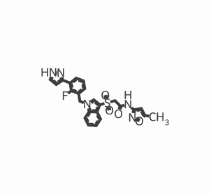 Cc1cc(NC(=O)CS(=O)(=O)c2cn(Cc3cccc(-c4cc[nH]n4)c3F)c3ccccc23)no1